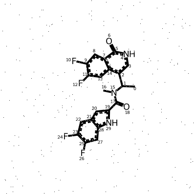 CC(c1c[nH]c(=O)c2cc(F)c(F)cc12)N(C)C(=O)c1cc2cc(F)c(F)cc2[nH]1